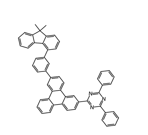 CC1(C)c2ccccc2-c2c(-c3cccc(-c4ccc5c(c4)c4ccccc4c4ccc(-c6nc(-c7ccccc7)nc(-c7ccccc7)n6)cc45)c3)cccc21